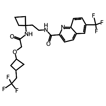 O=C(COC1CC(CC(F)(F)F)C1)NC1(CCNC(=O)c2ccc3cc(C(F)(F)F)ccc3n2)CCC1